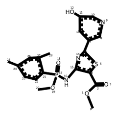 COC(=O)c1sc(-c2cncc(O)c2)nc1NP(=O)(OC)c1ccc(C)cc1C